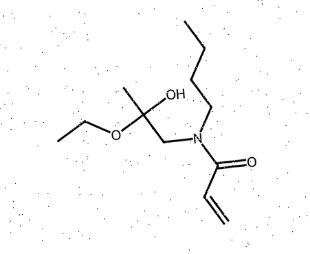 C=CC(=O)N(CCCC)CC(C)(O)OCC